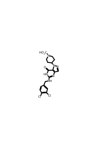 O=C(O)N1CCC(n2ncc3nc(NCc4ccc(Cl)c(Cl)c4)[nH]c(=O)c32)CC1